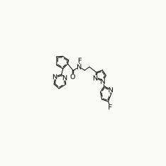 O=C(c1ccccc1-c1ncccn1)N(F)CCc1ccn(-c2ccc(F)cn2)n1